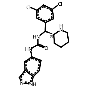 O=C(Nc1ccc2[nH]ncc2c1)NC(c1cc(Cl)cc(Cl)c1)[C@@H]1CCCCN1